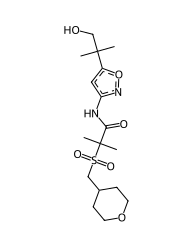 CC(C)(CO)c1cc(NC(=O)C(C)(C)S(=O)(=O)CC2CCOCC2)no1